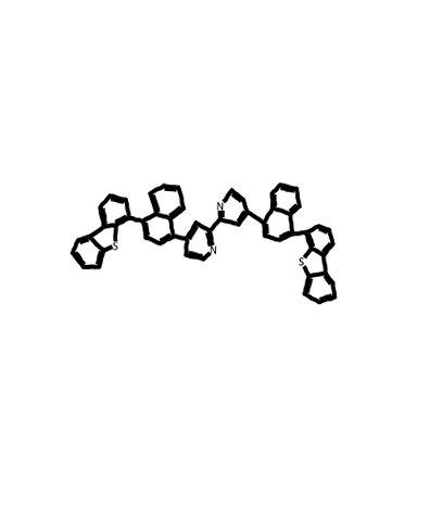 c1ccc2c(c1)sc1c(-c3ccc(-c4ccnc(-c5cc(-c6ccc(-c7cccc8c7sc7ccccc78)c7ccccc67)ccn5)c4)c4ccccc34)cccc12